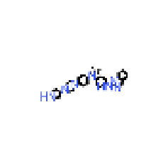 CC(=O)N(c1ccc(N2CCN(C3CCNCC3)CC2)cc1)C1CCC(Nc2ncc3ccccc3n2)CC1